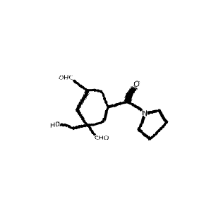 O=CC1CC(C(=O)N2CCCC2)CC(C=O)(CO)C1